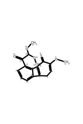 COC1=CCC2=C(C1=S)c1c(C(=O)C(OC)OC)cccc12